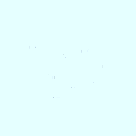 CCC[C@@]1(O)C(=O)OCc2c1cc1n(c2=O)Cc2c-1nc1cc(F)c(C)c3c1c2[C@@H](NC(=O)C1(CO)CC1)CC3